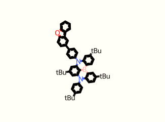 CC(C)(C)c1ccc(N2c3ccc(C(C)(C)C)cc3B3c4ccc(C(C)(C)C)cc4N(c4ccc(-c5ccc6oc7ccccc7c6c5)cc4)c4cc(C(C)(C)C)cc2c43)cc1